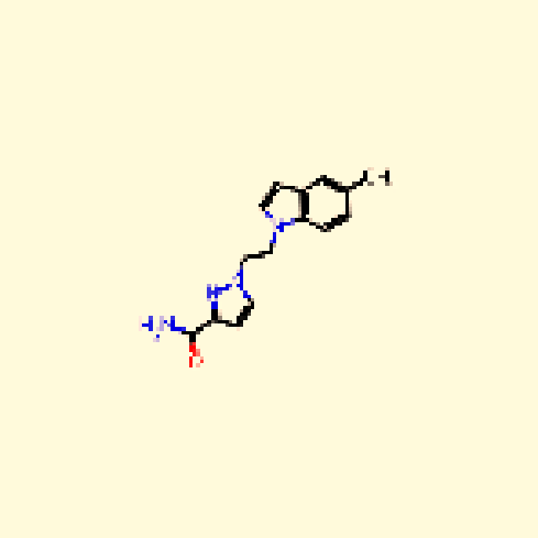 Cc1ccc2c(ccn2CCn2c[c]c(C(N)=O)n2)c1